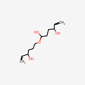 C=CC(O)CCCOC(O)CCC(O)C=C